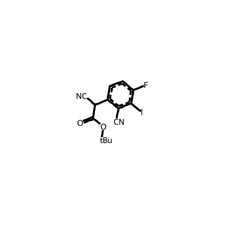 CC(C)(C)OC(=O)C(C#N)c1ccc(F)c(I)c1C#N